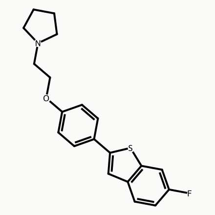 Fc1ccc2cc(-c3ccc(OCCN4CCCC4)cc3)sc2c1